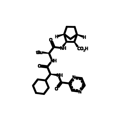 CC(C)(C)[C@H](NC(=O)[C@@H](NC(=O)c1cnccn1)C1CCCCC1)C(=O)N[C@H]1[C@@H]2CC[C@@H](C2)[C@H]1C(=O)O